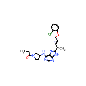 CCC(=O)N1CCC(Nc2ncnc3[nH]c(C(C)/C=C/COc4ccccc4Cl)nc23)C1